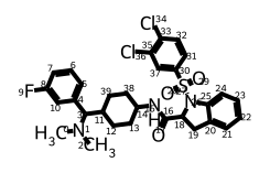 CN(C)C(c1cccc(F)c1)C1CCC(NC(=O)C2Cc3ccccc3N2S(=O)(=O)c2ccc(Cl)c(Cl)c2)CC1